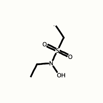 [CH2]CS(=O)(=O)N(O)CC